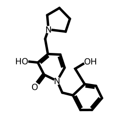 O=c1c(O)c(CN2CCCC2)ccn1Cc1ccccc1CO